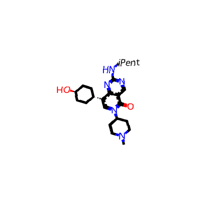 CCCC(C)Nc1ncc2c(=O)n(C3CCN(C)CC3)cc([C@H]3CC[C@H](O)CC3)c2n1